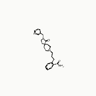 NC(=O)c1ccccc1[CH]CCN1CCC2(CC1)CCN(Cc1cccnc1)C2=O